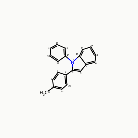 Cc1ccc(-c2cc3ccccc3n2-c2ccccc2)cc1